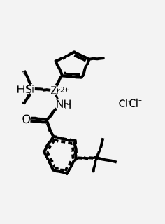 CC1=CC[C]([Zr+2]([NH]C(=O)c2cccc(C(C)(C)C)c2)[SiH](C)C)=C1.[Cl-].[Cl-]